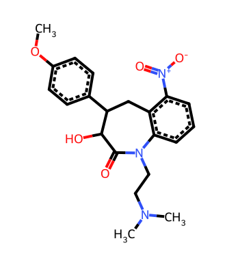 COc1ccc(C2Cc3c(cccc3[N+](=O)[O-])N(CCN(C)C)C(=O)C2O)cc1